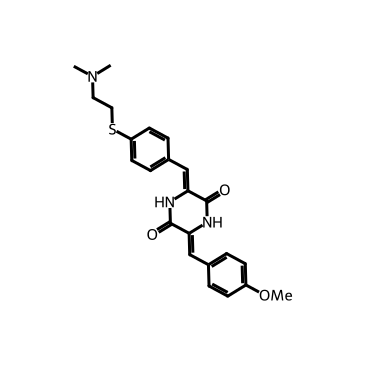 COc1ccc(/C=c2\[nH]c(=O)/c(=C/c3ccc(SCCN(C)C)cc3)[nH]c2=O)cc1